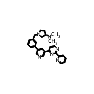 CN(C)[C@@H]1CCN(Cc2cccc(-c3cncc(-c4ccnc(-c5ccccn5)n4)c3)c2)C1